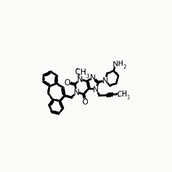 CC#CCn1c(N2CCCC(N)C2)nc2c1c(=O)n(CC1=Cc3ccccc3Cc3ccccc31)c(=O)n2C